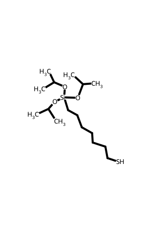 CC(C)O[Si](CCCCCCCS)(OC(C)C)OC(C)C